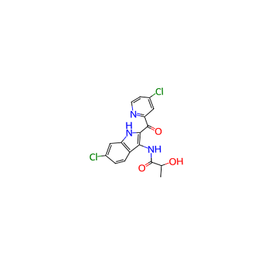 CC(O)C(=O)Nc1c(C(=O)c2cc(Cl)ccn2)[nH]c2cc(Cl)ccc12